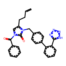 C=CCCc1cn(C(=O)c2ccccc2)c(=O)n1Cc1ccc(-c2ccccc2-c2nnn[nH]2)cc1